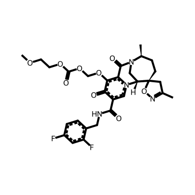 COCCOC(=O)OCOc1c2n(cc(C(=O)NCc3ccc(F)cc3F)c1=O)[C@@H]1CN(C2=O)[C@@H](C)CC[C@]12CC(C)=NO2